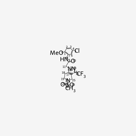 COc1ccc(Cl)cc1NC(=O)Cn1nc(C(F)(F)F)c2c1CCN(S(C)(=O)=O)C2